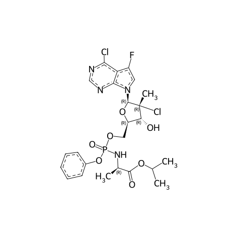 CC(C)OC(=O)[C@@H](C)NP(=O)(OC[C@H]1O[C@@H](n2cc(F)c3c(Cl)ncnc32)[C@](C)(Cl)[C@@H]1O)Oc1ccccc1